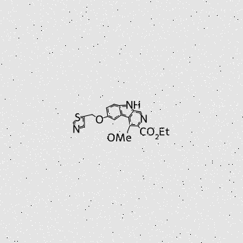 CCOC(=O)c1ncc2[nH]c3ccc(OCc4cncs4)cc3c2c1COC